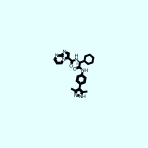 Cc1n[nH]c(C)c1-c1ccc(NC(=O)[C@@H](NC(=O)c2cnc3ncccn23)C2CCCCC2)cc1